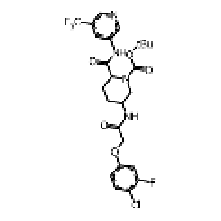 CC(C)(C)OC(=O)N1CC(NC(=O)COc2ccc(Cl)c(F)c2)CCC1C(=O)Nc1cncc(C(F)(F)F)c1